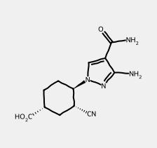 N#C[C@@H]1C[C@H](C(=O)O)CC[C@H]1n1cc(C(N)=O)c(N)n1